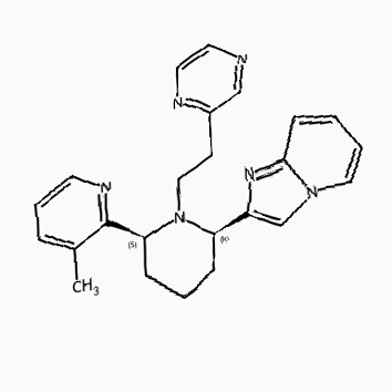 Cc1cccnc1[C@@H]1CCC[C@H](c2cn3ccccc3n2)N1CCc1cnccn1